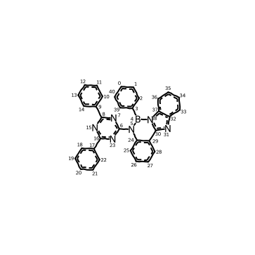 c1ccc(B2N(c3nc(-c4ccccc4)nc(-c4ccccc4)n3)c3ccccc3-c3nc4ccccc4n32)cc1